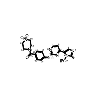 Cc1ncc(-c2ccnc(Nc3ccc(C(=O)N4CCS(=O)(=O)CC4)cc3)n2)n1C(C)C